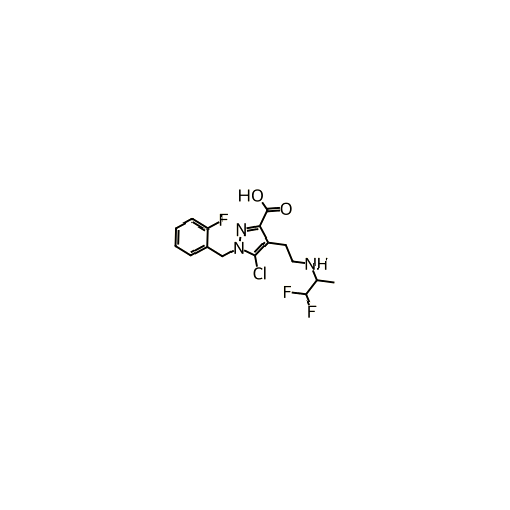 CC(NCCc1c(C(=O)O)nn(Cc2ccccc2F)c1Cl)C(F)F